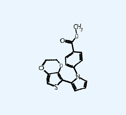 COC(=O)c1ccc(-n2cccc2-c2scc3c2OCCO3)cc1